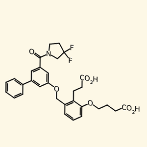 O=C(O)CCCOc1cccc(COc2cc(C(=O)N3CCC(F)(F)C3)cc(-c3ccccc3)c2)c1CCC(=O)O